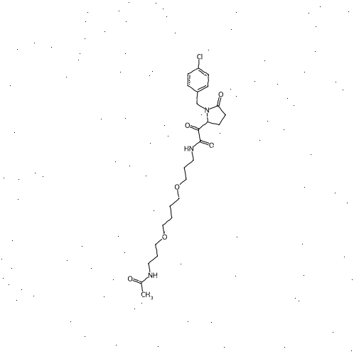 CC(=O)NCCCOCCCCOCCCNC(=O)C(=O)C1CCC(=O)N1Cc1ccc(Cl)cc1